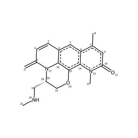 C=C1C=Cc2cc3c(C)cc(=O)n(C)c3c3c2N1[C@@H](CNC)CO3